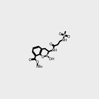 CCCCOC(=O)c1cccc2c1OB(O)C(NC(=O)CCNS(C)(=O)=O)C2